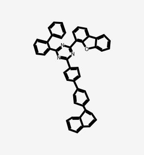 c1ccc(-c2ccccc2-c2nc(-c3ccc(-c4ccc(-c5cccc6ccccc56)cc4)cc3)nc(-c3cccc4c3oc3ccccc34)n2)cc1